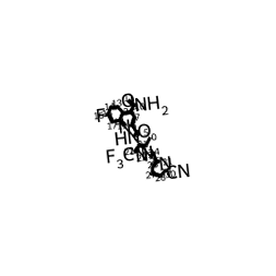 Cc1c(NC(=O)c2cc(C(N)=O)c3ccc(F)cc3n2)c(C(F)(F)F)nn1Cc1cccc(C#N)n1